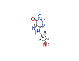 O=c1[nH]cnc2c1ncn2C1C=CC(O)C1